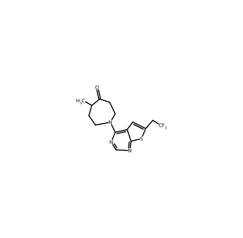 CC1CCN(c2ncnc3sc(CC(F)(F)F)cc23)CCC1=O